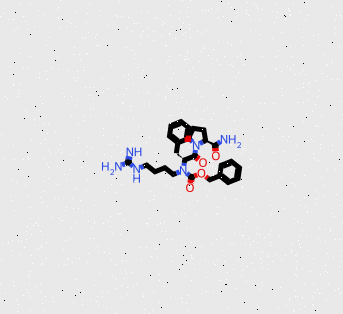 N=C(N)NCCCCN(C(=O)OCc1ccccc1)[C@H](Cc1ccccc1)C(=O)N1CCC[C@H]1C(N)=O